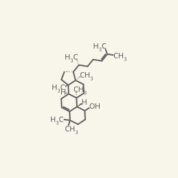 CC(C)=CCC[C@@H](C)[C@H]1CC[C@@]2(C)[C@@H]3CC=C4[C@@H](C(O)CCC4(C)C)[C@]3(C)CC[C@]12C